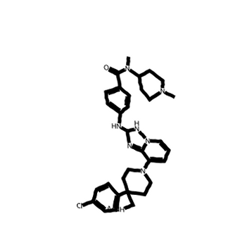 CC(=O)NCC1(c2ccc(Cl)cc2)CCN(C2=CC=CN3NC(Nc4ccc(C(=O)N(C)C5CCN(C)CC5)cc4)N=C23)CC1